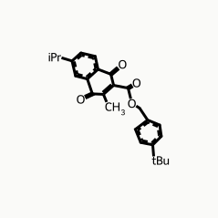 CC1=C(C(=O)OCc2ccc(C(C)(C)C)cc2)C(=O)c2ccc(C(C)C)cc2C1=O